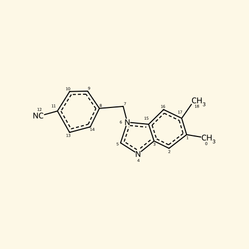 Cc1cc2ncn(Cc3ccc(C#N)cc3)c2cc1C